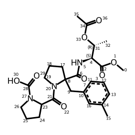 COC(=O)[C@@H](NC(=O)C1(Cc2cccc(C)c2)CCCN1C(=O)C1CCCN1C(=O)O)[C@@H](C)OC(C)=O